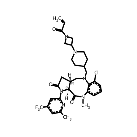 C=CC(=O)N1CC(N2CCC(CN3C[C@H]4CC(=O)N(c5cc(C(F)(F)F)cc(C)n5)[C@@H]4C(=O)N(C)c4cccc(Cl)c43)CC2)C1